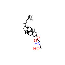 CC[C@H](CC[C@@H](C)[C@H]1CC[C@H]2[C@@H]3CC=C4C[C@@H](OC(=O)CNCC(C)O)CC[C@]4(C)[C@H]3CC[C@]12C)C(C)C